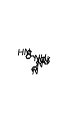 Cc1cccc(-c2nc(NCCc3cccc4[nH]ccc34)cc(-c3cccnc3)n2)n1